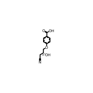 N#CC[C@@H](O)COc1ccc(C(=O)O)cc1